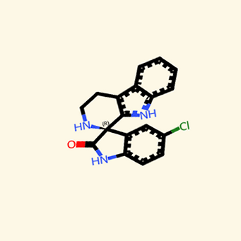 O=C1Nc2ccc(Cl)cc2[C@]12NCCc1c2[nH]c2ccccc12